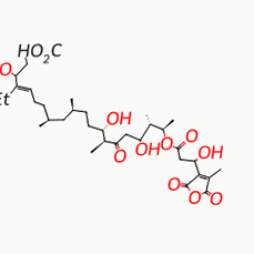 CC/C(=C\CC[C@H](C)C[C@@H](C)CC[C@H](O)[C@H](C)C(=O)C[C@@H](O)[C@H](C)[C@@H](C)OC(=O)C[C@@H](O)C1=C(C)C(=O)OC1=O)C(O)CC(=O)O